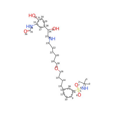 CC(C)(C)NS(=O)(=O)c1cccc(CCCCOCCCCCCNCC(O)c2ccc(O)c(NC=O)c2)c1